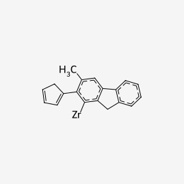 Cc1cc2c([c]([Zr])c1C1=CC=CC1)Cc1ccccc1-2